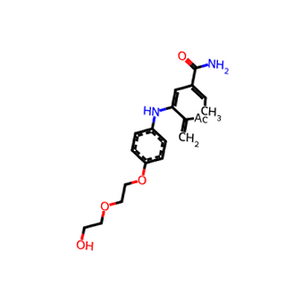 C=C(C(C)=O)/C(=C\C(=C/C)C(N)=O)Nc1ccc(OCCOCCO)cc1